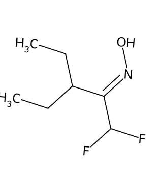 CCC(CC)/C(=N\O)C(F)F